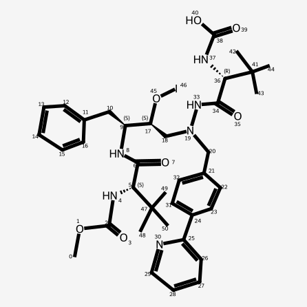 COC(=O)N[C@H](C(=O)N[C@@H](Cc1ccccc1)[C@H](CN(Cc1ccc(-c2ccccn2)cc1)NC(=O)[C@H](NC(=O)O)C(C)(C)C)OI)C(C)(C)C